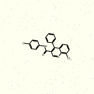 O=C(Nc1ccc(Cl)cc1)c1cnc2c(C(F)(F)F)cccc2c1-c1ccccc1